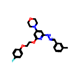 Cc1cccc(/C=N/Nc2cc(N3CCOCC3)cc(OCCOc3ccc(F)cc3)n2)c1